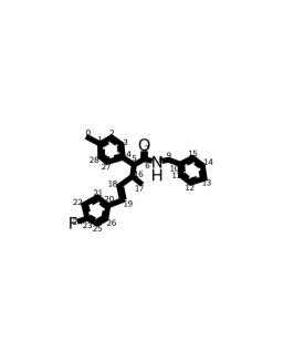 Cc1ccc(C(C(=O)NCc2ccccc2)C(C)/C=C/c2ccc(F)cc2)cc1